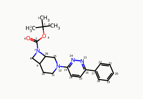 CC(C)(C)OC(=O)N1CC2CCN(c3ccc(-c4ccccc4)nn3)CC21